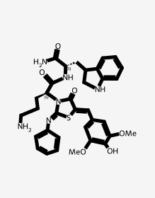 COc1cc(C=C2SC(=Nc3ccccc3)N([C@@H](CCCN)C(=O)N[C@@H](CC3CNc4ccccc43)C(N)=O)C2=O)cc(OC)c1O